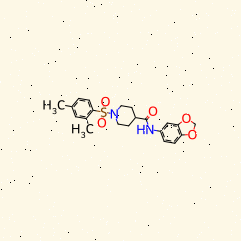 Cc1ccc(S(=O)(=O)N2CCC(C(=O)Nc3ccc4c(c3)OCO4)CC2)c(C)c1